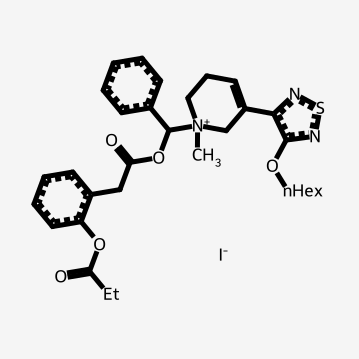 CCCCCCOc1nsnc1C1=CCC[N+](C)(C(OC(=O)Cc2ccccc2OC(=O)CC)c2ccccc2)C1.[I-]